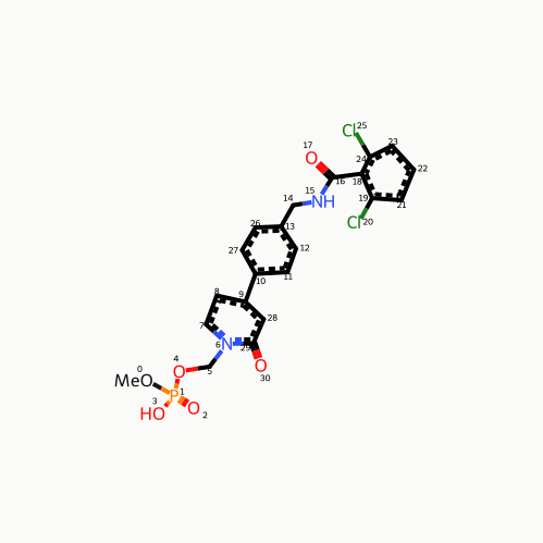 COP(=O)(O)OCn1ccc(-c2ccc(CNC(=O)c3c(Cl)cccc3Cl)cc2)cc1=O